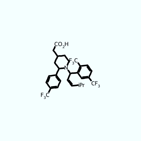 CC(C)/C=C\C(c1cc(C(F)(F)F)ccc1C(F)(F)F)N1CCC(CC(=O)O)CC1c1ccc(C(F)(F)F)cc1